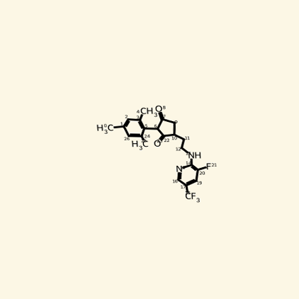 Cc1cc(C)c(C2C(=O)CC(CCNc3ncc(C(F)(F)F)cc3F)C2=O)c(C)c1